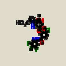 CC(C)[C@H](NC[C@@]1(O)C2C[C@@H](S(=O)(=O)c3cc(C(=O)Nc4cc(F)c(F)c(F)c4)ccc3Cl)CC1[C@@H](C)C2)C(=O)O